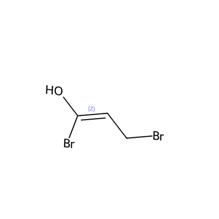 O/C(Br)=C/CBr